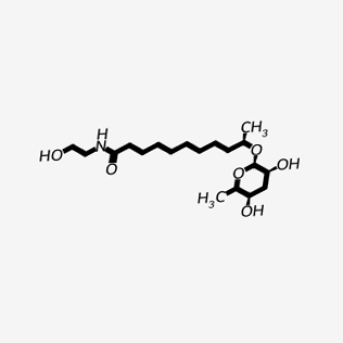 CC1O[C@@H](O[C@H](C)CCCCCCCCC(=O)NCCO)[C@@H](O)C[C@H]1O